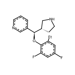 CCc1cc(F)cc(F)c1O[C@@H](c1cccnc1)[C@H]1CCNC1